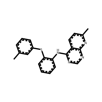 Cc1cccc(Sc2ccccc2Nc2ncnc3nc(C)ccc23)c1